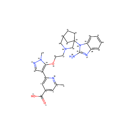 Cc1cc(C(=O)O)cc(-c2cnn(C)c2OCCN2CC3CCC(n4c(N)nc5ccccc54)(C3)C2)n1